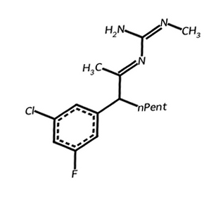 CCCCCC(/C(C)=N/C(N)=N\C)c1cc(F)cc(Cl)c1